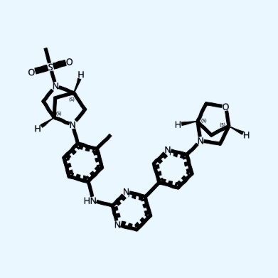 Cc1cc(Nc2nccc(-c3ccc(N4C[C@@H]5C[C@H]4CO5)nc3)n2)ccc1N1C[C@@H]2C[C@H]1CN2S(C)(=O)=O